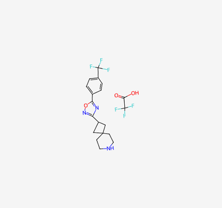 FC(F)(F)c1ccc(-c2nc(C3CC4(CCNCC4)C3)no2)cc1.O=C(O)C(F)(F)F